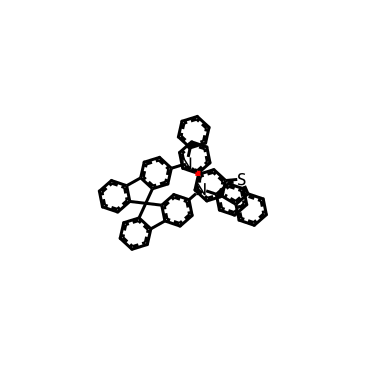 c1ccc(N(c2ccccc2)c2ccc3c(c2)C2(c4ccccc4-3)c3ccccc3-c3ccc(N(c4ccccc4)c4ccc5c(c4)sc4ccccc45)cc32)cc1